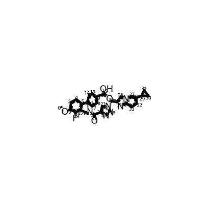 COc1ccc(-c2ccc(C(=O)O)cc2)c(CNC(=O)c2cn(Cc3cn4cc(C5CC5)ccc4n3)nn2)c1F